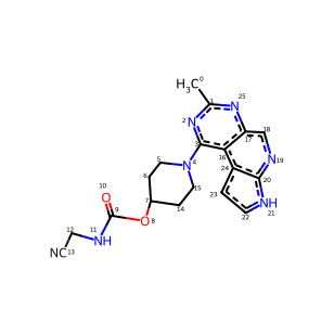 Cc1nc(N2CCC(OC(=O)NCC#N)CC2)c2c(cnc3[nH]ccc32)n1